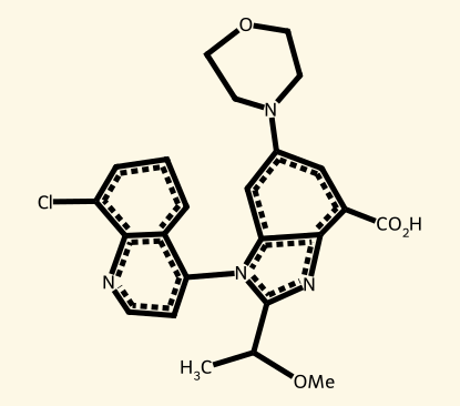 COC(C)c1nc2c(C(=O)O)cc(N3CCOCC3)cc2n1-c1ccnc2c(Cl)cccc12